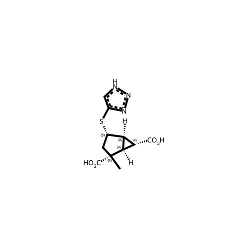 C[C@@]1(C(=O)O)C[C@H](Sc2c[nH]nn2)[C@H]2[C@H](C(=O)O)[C@H]21